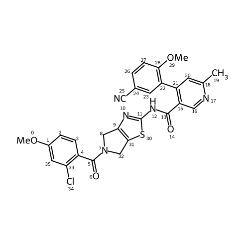 COc1ccc(C(=O)N2Cc3nc(NC(=O)c4cnc(C)cc4-c4cc(C#N)ccc4OC)sc3C2)c(Cl)c1